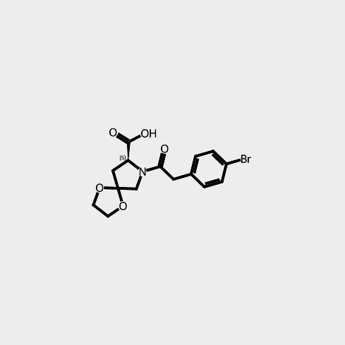 O=C(O)[C@@H]1CC2(CN1C(=O)Cc1ccc(Br)cc1)OCCO2